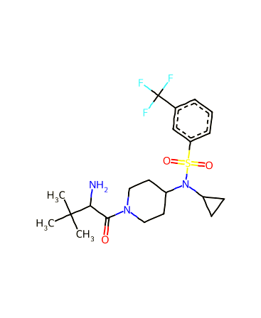 CC(C)(C)C(N)C(=O)N1CCC(N(C2CC2)S(=O)(=O)c2cccc(C(F)(F)F)c2)CC1